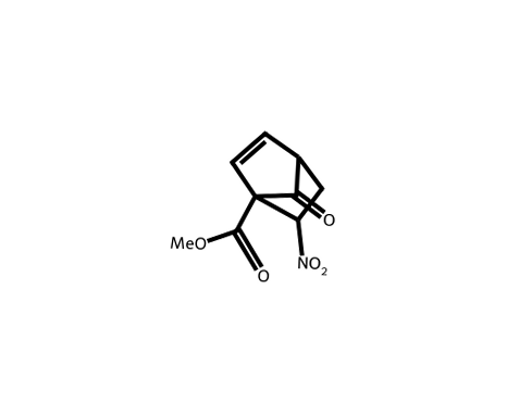 COC(=O)C12C=CC(CC1[N+](=O)[O-])C2=O